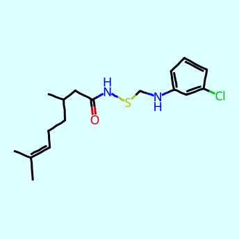 CC(C)=CCCC(C)CC(=O)NSCNc1cccc(Cl)c1